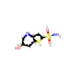 NS(=O)(=O)c1cc2ncc(O)cc2s1